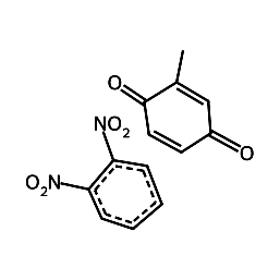 CC1=CC(=O)C=CC1=O.O=[N+]([O-])c1ccccc1[N+](=O)[O-]